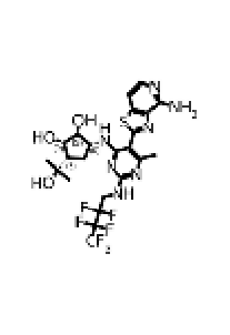 Cc1nc(NCC(F)(F)C(F)(F)C(F)(F)F)nc(N[C@@H]2C[C@H](C(C)(C)O)[C@@H](O)[C@H]2O)c1-c1nc2c(N)nccc2s1